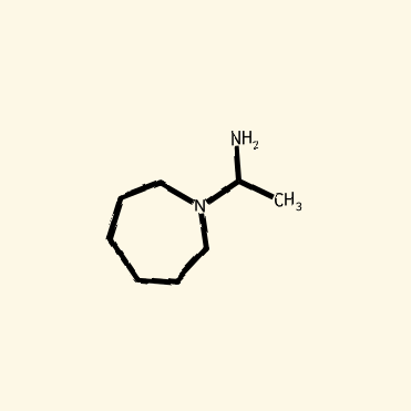 CC(N)N1CCCCCC1